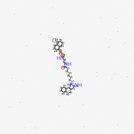 N=c1cc2c(nn1CCCCCCCC(=O)NCCNOOSc1cccc3c(Cl)cccc13)-c1ccccc1CC2